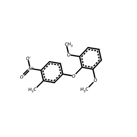 COc1c[c]cc(OC)c1Oc1ccc([N+](=O)[O-])c(C)c1